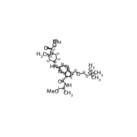 COC[C@@H](C)NC(=O)c1cn(COCC[Si](C)(C)C)c2ncc(N[C@H]3CCN(C(=O)OC(C)(C)C)[C@@H](C)C3)nc12